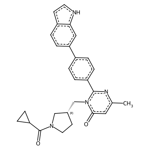 Cc1cc(=O)n(C[C@@H]2CCN(C(=O)C3CC3)C2)c(-c2ccc(-c3ccc4cc[nH]c4c3)cc2)n1